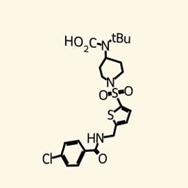 CC(C)(C)N(C(=O)O)C1CCN(S(=O)(=O)c2ccc(CNC(=O)c3ccc(Cl)cc3)s2)CC1